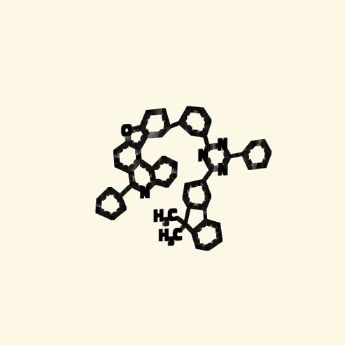 CC1(C)c2ccccc2-c2cc(-c3nc(-c4ccccc4)nc(-c4cccc(-c5ccc6oc7ccc8c(-c9ccccc9)nc9ccccc9c8c7c6c5)c4)n3)ccc21